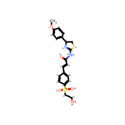 COc1ccc(C2CSC(NC(=O)/C=C/c3ccc(S(=O)(=O)CCO)cc3)=N2)cc1